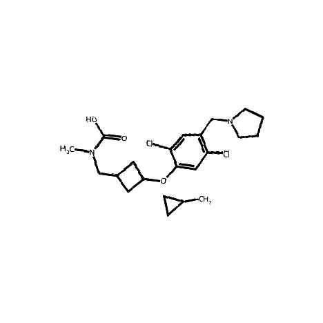 CC1CC1.CN(CC1CC(Oc2cc(Cl)c(CN3CCCC3)cc2Cl)C1)C(=O)O